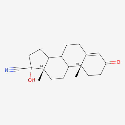 C[C@]12CCC(=O)C=C1CCC1C2CC[C@@]2(C)C1CCC2(O)C#N